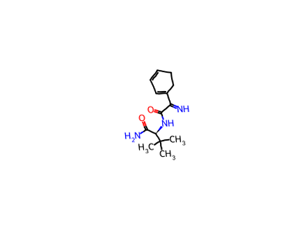 CC(C)(C)[C@H](NC(=O)C(=N)C1=CC=CCC1)C(N)=O